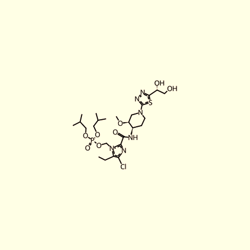 CCc1c(Cl)nc(C(=O)N[C@@H]2CCN(c3nnc([C@H](O)CO)s3)C[C@@H]2OC)n1COP(=O)(OCC(C)C)OCC(C)C